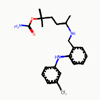 CC(CCC(C)(C)OC(N)=O)NCc1ccccc1Nc1cccc(C(F)(F)F)c1